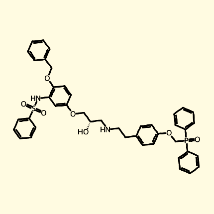 O=P(COc1ccc(CCNC[C@H](O)COc2ccc(OCc3ccccc3)c(NS(=O)(=O)c3ccccc3)c2)cc1)(c1ccccc1)c1ccccc1